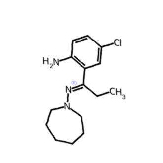 CC/C(=N\N1CCCCCC1)c1cc(Cl)ccc1N